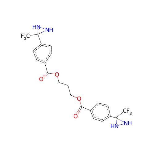 O=C(OCCCOC(=O)c1ccc(C2(C(F)(F)F)NN2)cc1)c1ccc(C2(C(F)(F)F)NN2)cc1